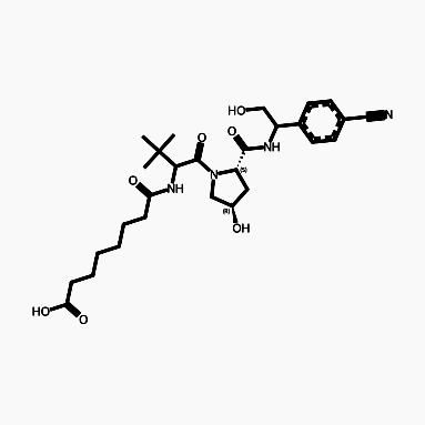 CC(C)(C)C(NC(=O)CCCCCCC(=O)O)C(=O)N1C[C@H](O)C[C@H]1C(=O)NC(CO)c1ccc(C#N)cc1